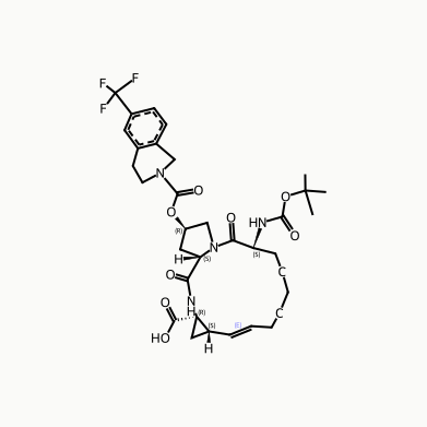 CC(C)(C)OC(=O)N[C@H]1CCCCC/C=C/[C@@H]2C[C@@]2(C(=O)O)NC(=O)[C@@H]2C[C@@H](OC(=O)N3CCc4cc(C(F)(F)F)ccc4C3)CN2C1=O